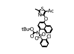 CC(=O)c1sc(C)nc1Oc1ccc(N(C(=O)OC(C)(C)C)S(=O)(=O)c2ccccc2Cl)c2ccccc12